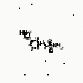 NS(=O)(=O)CCN1CCC[C@H](C2CNC2)C1